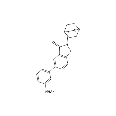 CC(=O)Nc1cccc(-c2ccc3c(c2)C(=O)N(C2CN4CCC2CC4)C3)c1